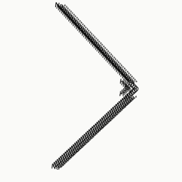 O.O.O.O.O.O.O.O.O.[Na+].[Na+].[Na+].[Na+].[Na+].[Na+].[Na+].[Na+].[Na+].[Na+].[Na+].[Na+].[Na+].[Na+].[Na+].[Na+].[Na+].[Na+].[Na+].[Na+].[Na+].[Na+].[Na+].[Na+].[Na+].[Na+].[Na+].[Na+].[Na+].[Na+].[Na+].[Na+].[Na+].[Na+].[Na+].[Na+].[Na+].[Na+].[Na+].[Na+].[Na+].[Na+].[Na+].[Na+].[Na+].[Na+].[Na+].[Na+].[Na+].[Na+].[Na+].[Na+].[Na+].[Na+].[Na+].[Na+].[Na+].[Na+].[Na+].[Na+].[Na+].[Na+].[Na+].[Na+].[Na+].[Na+].[Na+].[Na+].[Na+].[Na+].[Na+].[Na+].[Na+].[Na+].[Na+].[Na+].[Na+].[Na+].[Na+].[Na+].[Na+].[Na+].[Na+].[Na+].[Na+].[Na+].[Na+].[Na+].[Na+].[Na+].[Na+].[Na+].[Na+].[Na+].[Na+].[Na+].[Na+]